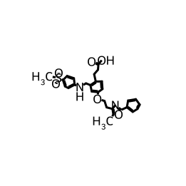 Cc1oc(-c2ccccc2)nc1CCOc1ccc(CCC(=O)O)c(CNc2ccc(S(C)(=O)=O)cc2)c1